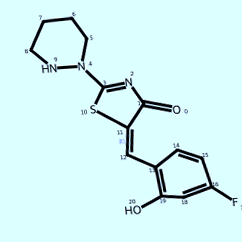 O=C1N=C(N2CCCCN2)S/C1=C/c1ccc(F)cc1O